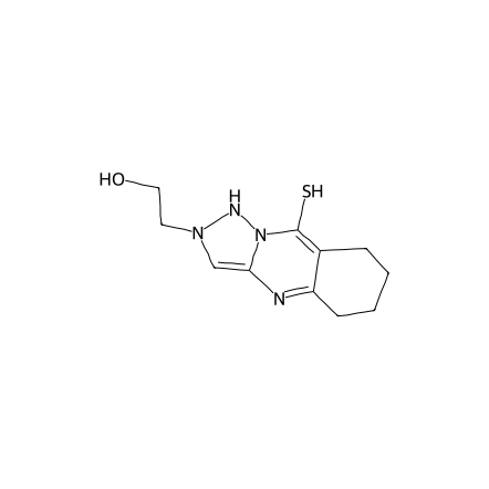 OCCN1C=C2N=C3CCCCC3=C(S)N2N1